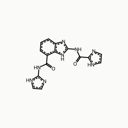 O=C(Nc1nc2cccc(C(=O)Nc3ncc[nH]3)c2[nH]1)c1ncc[nH]1